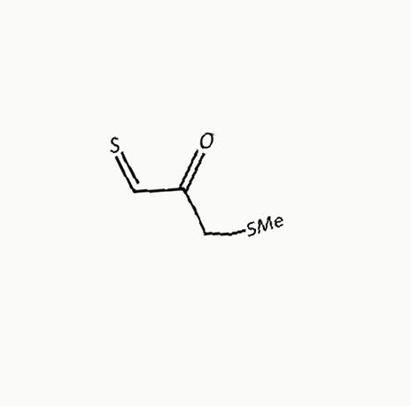 CSCC(=O)C=S